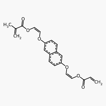 C=CC(=O)O/C=C\Oc1ccc2cc(O/C=C\OC(=O)C(=C)C)ccc2c1